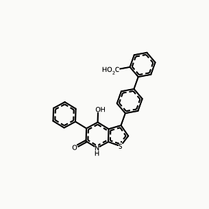 O=C(O)c1ccccc1-c1ccc(-c2csc3[nH]c(=O)c(-c4ccccc4)c(O)c23)cc1